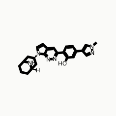 Cn1cc(-c2ccc(-c3cc4ccn([C@@H]5CC6CCC[C@@H](C5)N6)c4nn3)c(O)c2)cn1